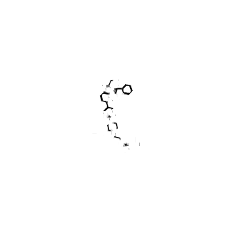 C[C@H]1CN(c2ncc(-c3ccc4nc5n(c4n3)[C@@]3(COC5)COc4ccccc43)cn2)CCN1C(=O)COC(C)(C)C